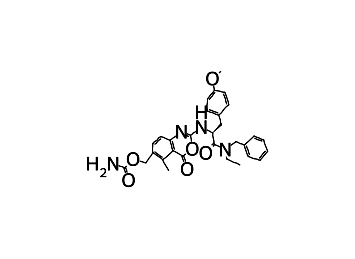 CCN(Cc1ccccc1)C(=O)[C@H](Cc1ccc(OC)cc1)Nc1nc2ccc(COC(N)=O)c(C)c2c(=O)o1